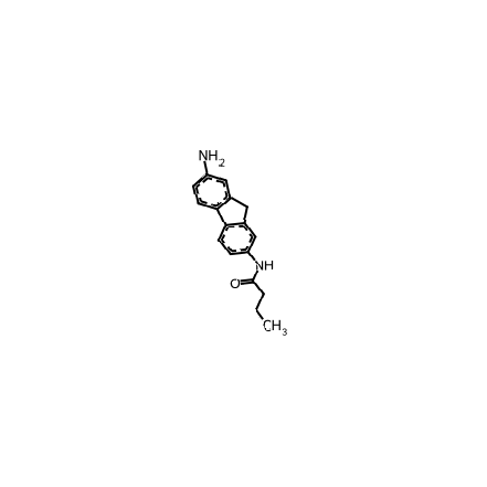 CCCC(=O)Nc1ccc2c(c1)Cc1cc(N)ccc1-2